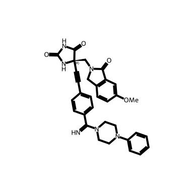 COc1ccc2c(c1)C(=O)N(C[C@@]1(C#Cc3ccc(C(=N)N4CCN(c5ccccc5)CC4)cc3)NC(=O)NC1=O)C2